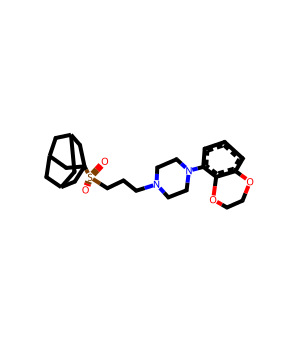 O=S(=O)(CCCN1CCN(c2cccc3c2OCCO3)CC1)C12CC3CC(CC(C3)C1)C2